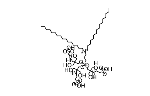 CCCCCCCCCCCCCCCC[N+](C)(CCCCCCCCCCCCCCCC)CCC[Si](OCC(CO)(CO)NCCS(=O)(=O)O)(OCC(CO)(CO)NCCS(=O)(=O)O)OCC(CO)(CO)NCCS(=O)(=O)O